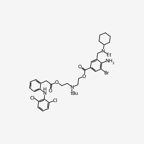 CCN(Cc1cc(C(=O)OCCN(CCOC(=O)Cc2ccccc2Nc2c(Cl)cccc2Cl)C(C)(C)C)cc(Br)c1N)C1CCCCC1